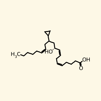 CCCCC/C=C\CC(C[C@@H](O)/C=C\C/C=C\CCCC(=O)O)C1CC1